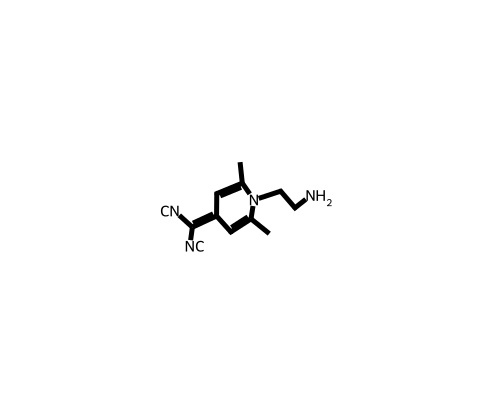 [C-]#[N+]C([N+]#[C-])=C1C=C(C)N(CCN)C(C)=C1